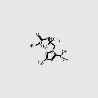 CC(C)(Cn1nc(C(F)(F)F)cc1B(O)O)NC(=O)OC(C)(C)C